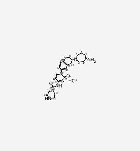 Cl.NC1CCCN(C2CCc3ccc(-n4ccc(NC(=O)N5CCNCC5)nc4=O)cc3C2)CC1